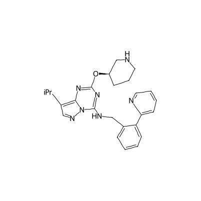 CC(C)c1cnn2c(NCc3ccccc3-c3ccccn3)nc(O[C@@H]3CCCNC3)nc12